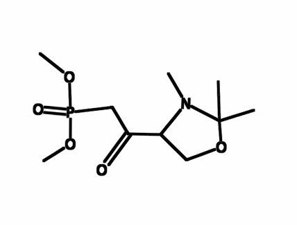 COP(=O)(CC(=O)C1COC(C)(C)N1C)OC